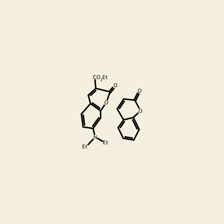 CCOC(=O)c1cc2ccc(N(CC)CC)cc2oc1=O.O=c1ccc2ccccc2o1